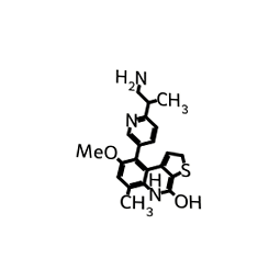 COc1cc(C)c2c(c1-c1ccc(C(C)CN)nc1)C1=CCSC1=C(O)N2